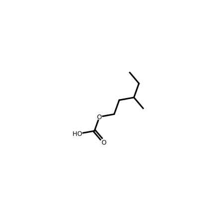 CCC(C)CCOC(=O)O